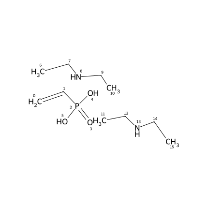 C=CP(=O)(O)O.CCNCC.CCNCC